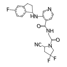 N#CC1CC(F)(F)CN1C(=O)CNC(=O)c1ccncc1NC1CCc2cc(F)ccc21